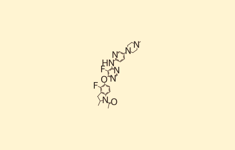 CC(=O)N1c2ccc(Oc3ncnc(Nc4ccc(N5CCN(C)CC5)cn4)c3F)c(F)c2CC1C